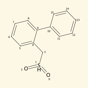 O=[SH](=O)Cc1ccccc1-c1cc[c]cc1